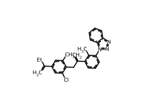 C=C(CC)c1cc(C)c(CC(=C)c2cccc(-n3nnc4ccccc43)c2C)c(Cl)c1